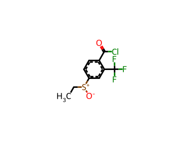 CC[S+]([O-])c1ccc(C(=O)Cl)c(C(F)(F)F)c1